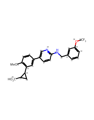 COc1ccc(-c2ccc(NCc3cccc(OC(F)(F)F)c3)nc2)cc1C1CC1C(=O)O